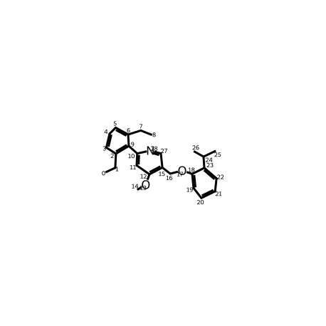 CCc1cccc(CC)c1-c1cc(OC)c(COc2ccccc2C(C)C)cn1